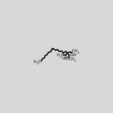 CCCCCCCC/C=C\CCCCCCC(CC(C)O)(CC(C)O)C(N)=O